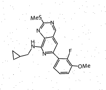 COc1cccc(-c2cc3cnc(SC)nc3c(NCC3CC3)n2)c1F